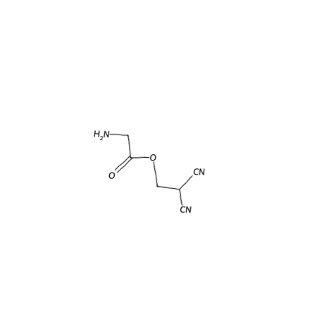 N#CC(C#N)COC(=O)CN